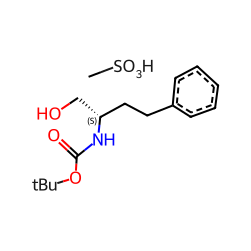 CC(C)(C)OC(=O)N[C@H](CO)CCc1ccccc1.CS(=O)(=O)O